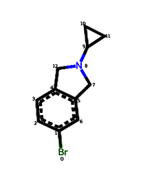 Brc1ccc2c(c1)CN(C1CC1)C2